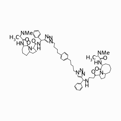 CN[C@@H](C)C(=O)NC1CCCCC2CCC(C(=O)CCN[C@@H](c3ccccc3)c3cn(CCCCc4ccc(CCCCn5cc([C@@H](NC(=O)C6CCC7CCCC(NC(=O)[C@@H](C)NC)C(=O)N76)c6ccccc6)nn5)cc4)nn3)N2C1=O